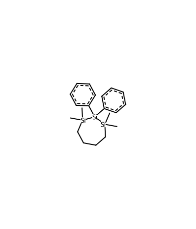 C[Si]1(C)CCCC[Si](C)(C)[Si]1(c1ccccc1)c1ccccc1